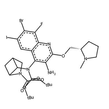 CN1CCC[C@H]1COc1nc2c(F)c(Br)c(I)cc2c(N(C(=O)OC(C)(C)C)C2C3CC2N(C(=O)OC(C)(C)C)C3)c1N